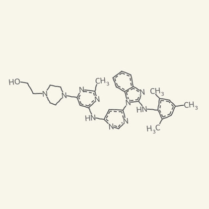 Cc1cc(C)c(Nc2nc3ccccc3n2-c2cc(Nc3cc(N4CCN(CCO)CC4)nc(C)n3)ncn2)c(C)c1